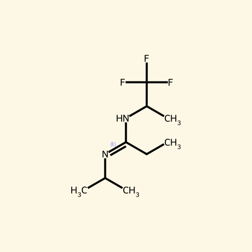 CC/C(=N\C(C)C)NC(C)C(F)(F)F